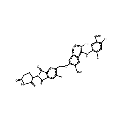 COc1cc(Nc2c(C#N)cnc3cc(OCc4cc5c(cc4F)C(=O)N(C4CCC(=O)NC4=O)C5=O)c(OC)cc23)c(Cl)cc1Cl